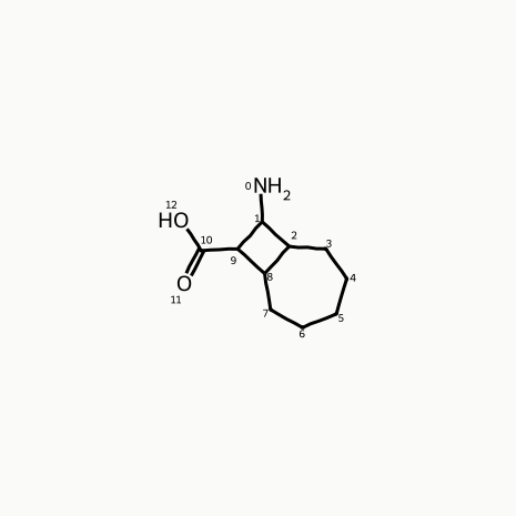 NC1C2CCCCCC2C1C(=O)O